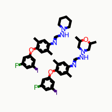 Cc1cc(Oc2cc(F)cc(I)c2)c(C)cc1N=CNN1CC(C)OC(C)C1.Cc1cc(Oc2cc(F)cc(I)c2)c(C)cc1N=CNN1CCCCC1